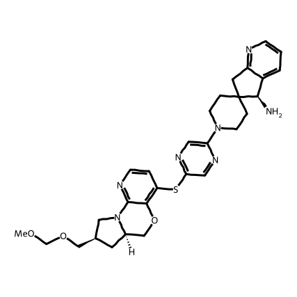 COCOC[C@@H]1C[C@@H]2COc3c(Sc4cnc(N5CCC6(CC5)Cc5ncccc5[C@H]6N)cn4)ccnc3N2C1